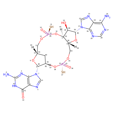 Nc1nc2c(ncn2[C@@H]2O[C@@H]3CO[P@@](=O)(S)O[C@H]4[C@@H](O)[C@H](n5cnc6c(N)ncnc65)O[C@@H]4CO[P@](=O)(S)O[C@@H]2C3)c(=O)[nH]1